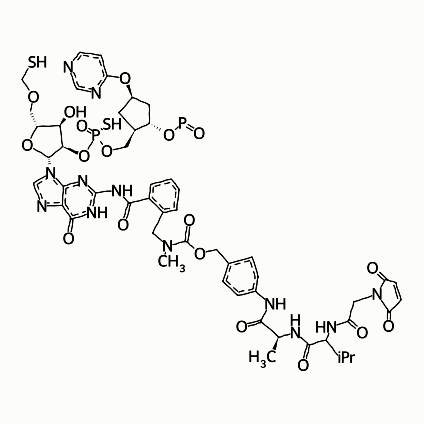 CC(C)C(NC(=O)CN1C(=O)C=CC1=O)C(=O)N[C@@H](C)C(=O)Nc1ccc(COC(=O)N(C)Cc2ccccc2C(=O)Nc2nc3c(ncn3[C@@H]3O[C@H](COCS)[C@@H](O)[C@H]3O[P@](=O)(S)OC[C@H]3C[C@@H](Oc4ccncn4)C[C@@H]3OP=O)c(=O)[nH]2)cc1